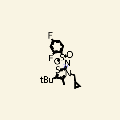 Cc1c(C(C)(C)C)s/c(=N\S(=O)(=O)c2ccc(F)cc2F)n1CC1CC1